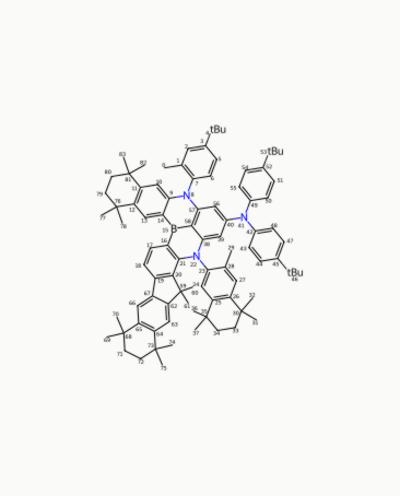 Cc1cc(C(C)(C)C)ccc1N1c2cc3c(cc2B2c4ccc5c(c4N(c4cc6c(cc4C)C(C)(C)CCC6(C)C)c4cc(N(c6ccc(C(C)(C)C)cc6)c6ccc(C(C)(C)C)cc6)cc1c42)C(C)(C)c1cc2c(cc1-5)C(C)(C)CCC2(C)C)C(C)(C)CCC3(C)C